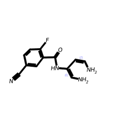 N#Cc1ccc(F)c(C(=O)NC(/C=C\N)=C/N)c1